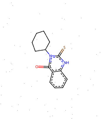 O=c1c2ccccc2[nH]c(=S)n1C1CCCCC1